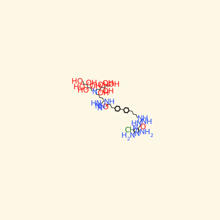 N=C(NCCCCc1ccc(-c2ccc(CCC(=O)N[C@H](CCCCN(C[C@H](O)[C@@H](O)[C@H](O)[C@H](O)CO)C[C@H](O)[C@@H](O)[C@H](O)[C@H](O)CO)c3nnn[nH]3)cc2)cc1)NC(=O)c1nc(Cl)c(N)nc1N